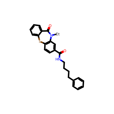 CCN1C(=O)c2ccccc2Sc2ccc(C(=O)NCCCCc3ccccc3)cc21